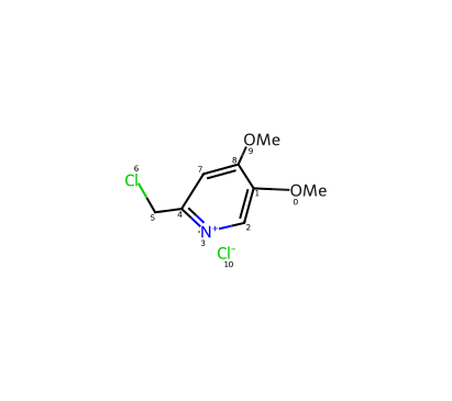 COC1=C[N+]=C(CCl)C=C1OC.[Cl-]